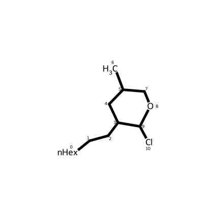 CCCCCCCCC1CC(C)COC1Cl